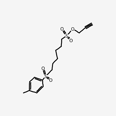 C#CCOS(=O)(=O)CCCCCCS(=O)(=O)c1ccc(C)cc1